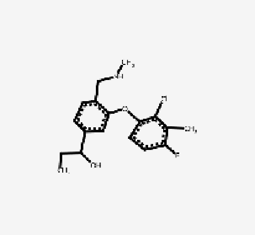 CCC(O)c1ccc(CNC)c(Oc2ccc(F)c(C)c2Cl)c1